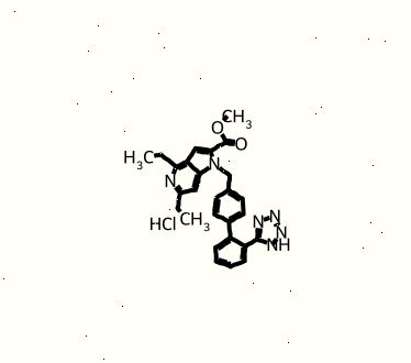 CCc1cc2c(cc(C(=O)OC)n2Cc2ccc(-c3ccccc3-c3nnn[nH]3)cc2)c(CC)n1.Cl